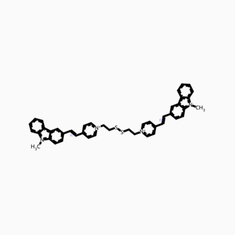 Cn1c2ccccc2c2cc(/C=C/c3cc[n+](CCSSCC[n+]4ccc(/C=C/c5ccc6c(c5)c5ccccc5n6C)cc4)cc3)ccc21